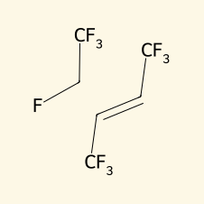 FC(F)(F)/C=C/C(F)(F)F.FCC(F)(F)F